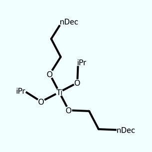 CCCCCCCCCCCC[O][Ti]([O]CCCCCCCCCCCC)([O]C(C)C)[O]C(C)C